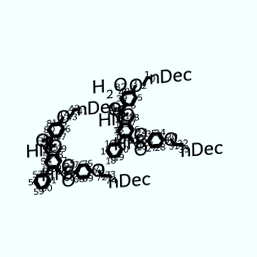 CCCCCCCCCCCCOc1ccc(S(=O)(=O)Nc2cc(-c3ccccc3)c(NS(=O)(=O)c3ccc(OCCCCCCCCCCCC)cc3)cc2C)cc1.CCCCCCCCCCCCOc1ccc(S(=O)(=O)Nc2cc(-c3ccccc3)c(NS(=O)(=O)c3ccc(OCCCCCCCCCCCC)cc3)cc2C)cc1.O